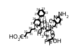 Cc1nc(N)ccc1CNC(=O)[C@H](C)NC(=O)[C@H]1C[C@@H](c2ccccc2)CCN1CCCCCC(=O)O.O=C(O)C(F)(F)F